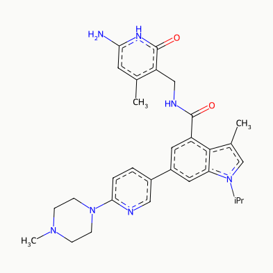 Cc1cc(N)[nH]c(=O)c1CNC(=O)c1cc(-c2ccc(N3CCN(C)CC3)nc2)cc2c1c(C)cn2C(C)C